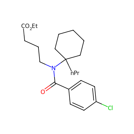 CCCC1(N(CCCC(=O)OCC)C(=O)c2ccc(Cl)cc2)CCCCC1